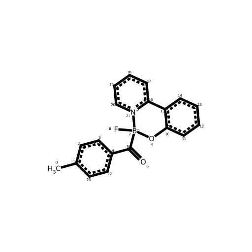 Cc1ccc(C(=O)[B-]2(F)Oc3ccccc3-c3cccc[n+]32)cc1